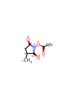 CC(C)C(=O)ON1C(=O)CC(C)C1=O